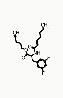 C#CCCCOC(=O)[C@H](Cc1cc(F)cc(F)c1)NC(=O)/C=C/CCCC